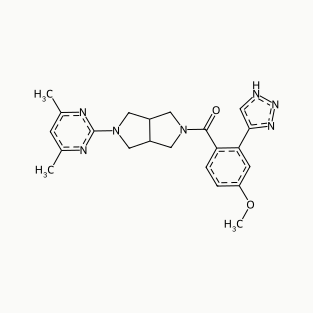 COc1ccc(C(=O)N2CC3CN(c4nc(C)cc(C)n4)CC3C2)c(-c2c[nH]nn2)c1